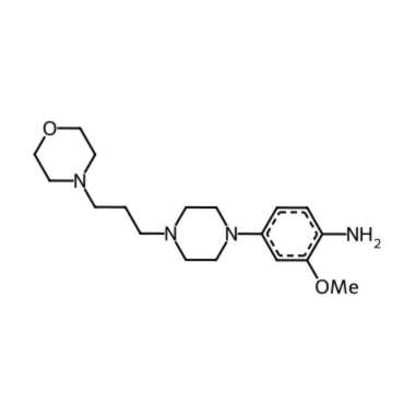 COc1cc(N2CCN(CCCN3CCOCC3)CC2)ccc1N